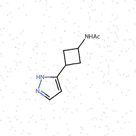 CC(=O)NC1CC(c2c[c]n[nH]2)C1